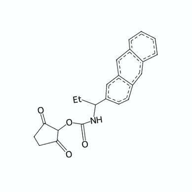 CCC(NC(=O)OC1C(=O)CCC1=O)c1ccc2cc3ccccc3cc2c1